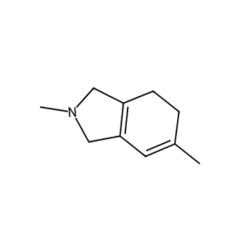 CC1=CC2=C(CC1)CN(C)C2